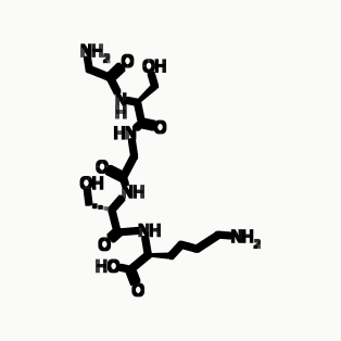 NCCCC[C@H](NC(=O)[C@H](CO)NC(=O)CNC(=O)[C@H](CO)NC(=O)CN)C(=O)O